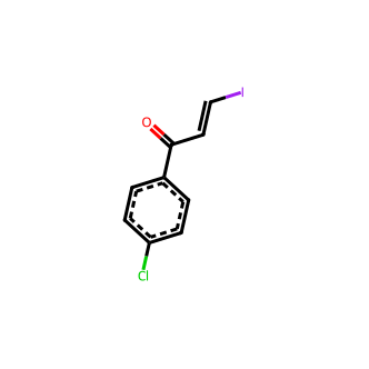 O=C(/C=C/I)c1ccc(Cl)cc1